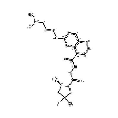 C[C@@H]1CC(C)(F)CN1C(=O)CNC(=O)c1ccnc2ccc(OCCCN(C)C)cc12